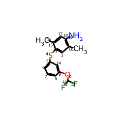 Cc1cc(Sc2cccc(OC(F)F)c2)c(C)cc1N